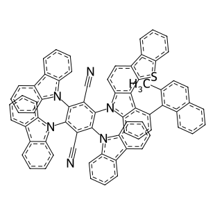 Cc1ccc2ccccc2c1-c1cccc2c1c1c3sc4ccccc4c3ccc1n2-c1c(C#N)c(-n2c3ccccc3c3ccccc32)c(-n2c3ccccc3c3ccccc32)c(C#N)c1-n1c2ccccc2c2ccccc21